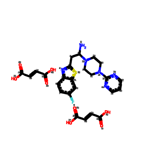 NC(Cc1nc2ccc(F)cc2s1)N1CCN(c2ncccn2)CC1.O=C(O)C=CC(=O)O.O=C(O)C=CC(=O)O